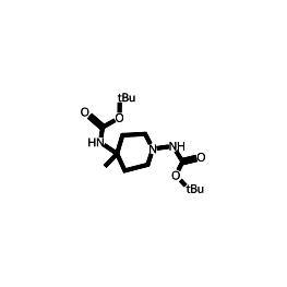 CC1(NC(=O)OC(C)(C)C)CCN(NC(=O)OC(C)(C)C)CC1